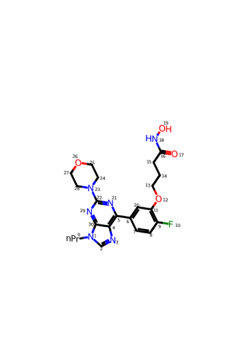 CCCn1cnc2c(-c3ccc(F)c(OCCCC(=O)NO)c3)nc(N3CCOCC3)nc21